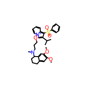 COc1cc2c(cc1OC)C(N(C)CCCO[N+]13C=CC=CC1=C(S(=O)(=O)c1ccccc1)C(C(C)C)=C3)CCC2